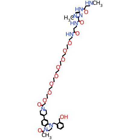 CNCCC(=O)Nc1cn(C)c(C(=O)NCCC(=O)NCCOCCOCCOCCOCCOCCOCCOCCOCC(=O)N2CC=C(c3ccc4c(c3)N(Cc3ccccc3CO)CCN4C(C)=O)CC2)n1